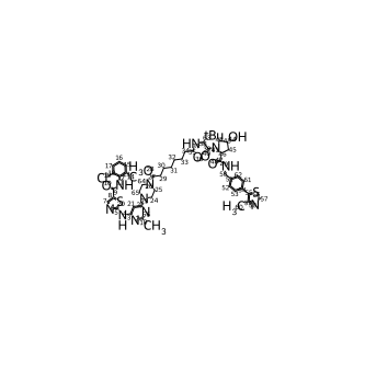 Cc1nc(Nc2ncc(C(=O)Nc3c(C)cccc3Cl)s2)cc(N2CCN(C(=O)CCCCCCC(=O)NC(C(=O)N3C[C@H](O)C[C@H]3C(=O)NCc3ccc(-c4scnc4C)cc3)C(C)(C)C)CC2)n1